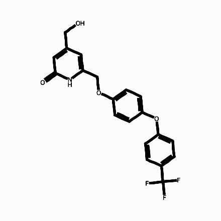 O=c1cc(CO)cc(COc2ccc(Oc3ccc(C(F)(F)F)cc3)cc2)[nH]1